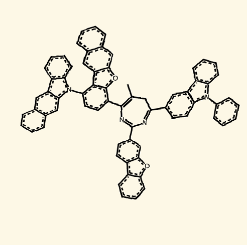 CC1=C(c2ccc(-n3c4ccccc4c4cc5ccccc5cc43)c3c2oc2cc4ccccc4cc23)N=C(c2ccc3c(c2)oc2ccccc23)N=C(c2ccc3c(c2)c2ccccc2n3-c2ccccc2)C1